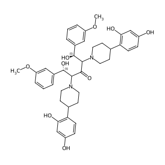 COc1cccc([C@H](O)C(C(=O)C([C@@H](O)c2cccc(OC)c2)N2CCC(c3ccc(O)cc3O)CC2)N2CCC(c3ccc(O)cc3O)CC2)c1